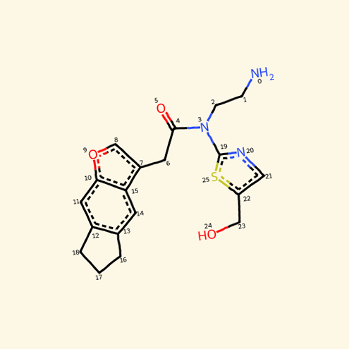 NCCN(C(=O)Cc1coc2cc3c(cc12)CCC3)c1ncc(CO)s1